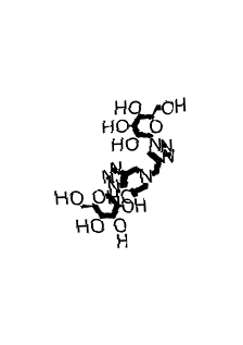 C#CCN(Cc1cn(C2O[C@H](CO)[C@@H](O)[C@H](O)[C@@H]2O)nn1)Cc1cn([C@H]2O[C@H](CO)[C@@H](O)[C@H](O)[C@@H]2O)nn1